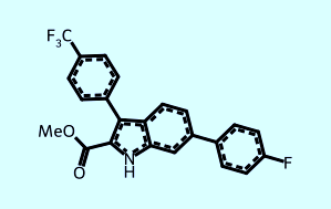 COC(=O)c1[nH]c2cc(-c3ccc(F)cc3)ccc2c1-c1ccc(C(F)(F)F)cc1